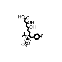 CC(C)n1c(NS(C)(=O)=O)nc(-c2ccc(F)cc2)c1CCC(O)CC(O)CC(=O)O